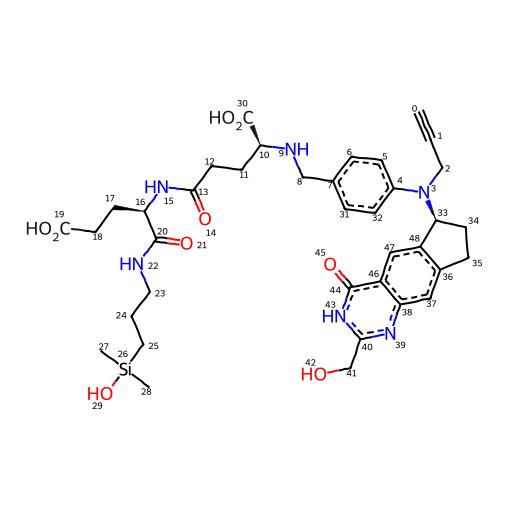 C#CCN(c1ccc(CN[C@@H](CCC(=O)N[C@H](CCC(=O)O)C(=O)NCCC[Si](C)(C)O)C(=O)O)cc1)[C@H]1CCc2cc3nc(CO)[nH]c(=O)c3cc21